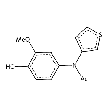 COc1cc(N(C(C)=O)c2ccsc2)ccc1O